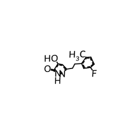 Cc1ccc(F)cc1CCc1cc(O)c(=O)[nH]n1